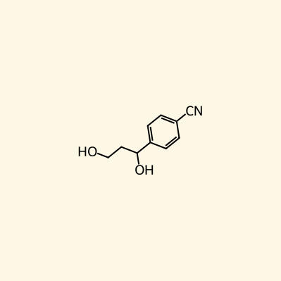 N#Cc1ccc(C(O)CCO)cc1